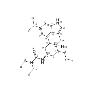 CCCN1C[C@@H](NC(=O)N(CC)CC)CC2c3cc(C(C)C)cc4[nH]cc(c34)C[C@H]21